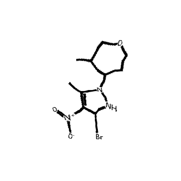 CC1=C([N+](=O)[O-])C(Br)NN1C1CCOCC1C